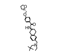 CCN(Cc1ccc2c(c1)CC[C@H](NC(=O)c1ccc(OC[C@@H]3CCCO3)cc1)C2)CC(C)(C)C